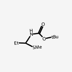 [CH2]CC(NC(=O)OC(C)(C)C)SC